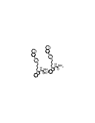 N#Cc1ccc2cc(NC(N)=O)n(CCCCN3CCN(c4ccc5c(c4)OCCC5)CC3)c2c1.NC(=O)Nc1cc2ccccc2n1CCCCN1CCN(c2ccc3c(c2)OCCC3)CC1